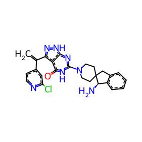 C=C(c1ccnc(Cl)c1)c1n[nH]c2nc(N3CCC4(CC3)Cc3ccccc3[C@H]4N)[nH]c(=O)c12